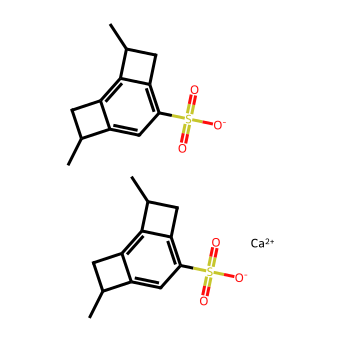 CC1Cc2c1cc(S(=O)(=O)[O-])c1c2C(C)C1.CC1Cc2c1cc(S(=O)(=O)[O-])c1c2C(C)C1.[Ca+2]